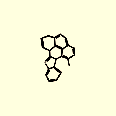 Cc1ccc2ccc3c4c2c1C1C(=Nc2ccccc21)C4C=CC3